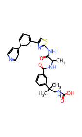 CC(NC(=O)c1cccc(C(C)(C)CNC(=O)O)c1)C(=O)Nc1nc(-c2cccc(-c3ccncc3)c2)cs1